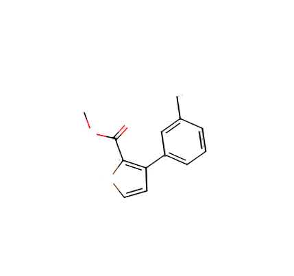 COC(=O)c1sccc1-c1cccc(C)c1